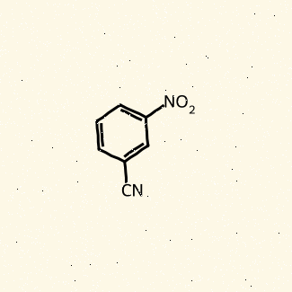 N#Cc1cccc([N+](=O)[O-])c1